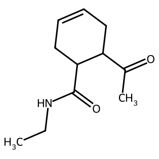 CCNC(=O)C1CC=CCC1C(C)=O